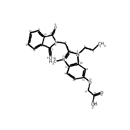 CCCn1c(CN2C(=O)c3ccccc3C2=O)[n+](C)c2ccc(OCC(=O)O)cc21